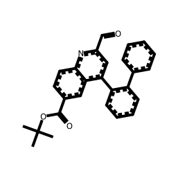 CC(C)(C)OC(=O)c1ccc2nc(C=O)cc(-c3ccccc3-c3ccccc3)c2c1